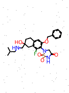 CC(C)CNCC1(O)CCc2cc(OCc3ccccc3)c(N3CC(=O)NS3(=O)=O)c(F)c2C1